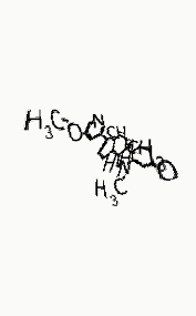 CCOc1cncc(C2=CC[C@H]3[C@@H]4CN(CC)C5=CC(=O)CC[C@]5(C)[C@H]4CCC23C)c1